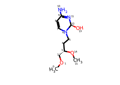 COC[C@H](CCN1C=CC(N)=N[C@H]1O)OC